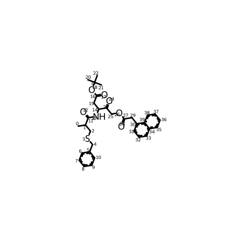 CC(CSCc1ccccc1)C(=O)NC(CC(=O)OC(C)(C)C)C(=O)COC(=O)Cc1cccc2ccccc12